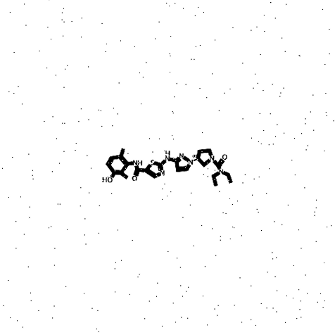 CCN(CC)C(=O)N1CC[C@@H](n2ccc(Nc3ncc(C(=O)Nc4c(C)ccc(O)c4C)s3)n2)C1